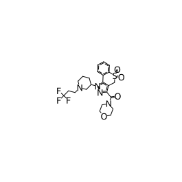 O=C(c1nn(C2CCCN(CCC(F)(F)F)C2)c2c1CS(=O)(=O)c1ccccc1-2)N1CCOCC1